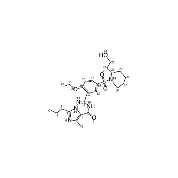 CCCc1nc(C)c2c(=O)[nH]c(-c3cc(S(=O)(=O)N4CCCCC4CCO)ccc3OCC)nn12